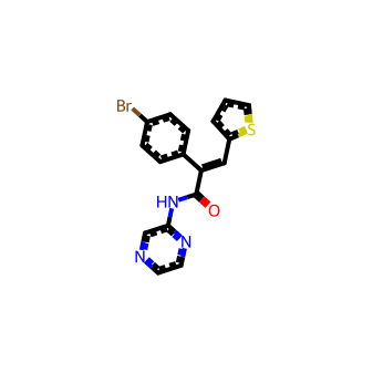 O=C(Nc1cnccn1)C(=Cc1cccs1)c1ccc(Br)cc1